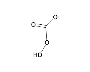 [O]C(=O)OO